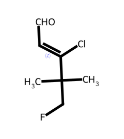 CC(C)(CF)/C(Cl)=C/C=O